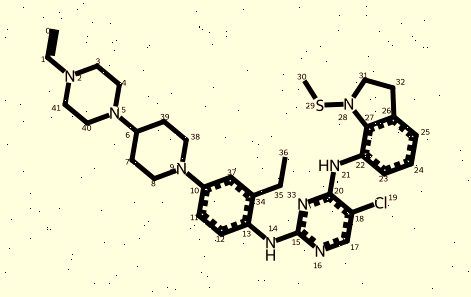 C=CN1CCN(C2CCN(c3ccc(Nc4ncc(Cl)c(Nc5cccc6c5N(SC)CC6)n4)c(CC)c3)CC2)CC1